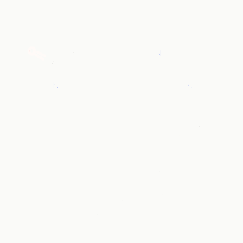 O=C1N=Cc2cc(CN3CCN(Cc4ccc(-c5ccc(Cl)cc5)s4)CC3)ccc21